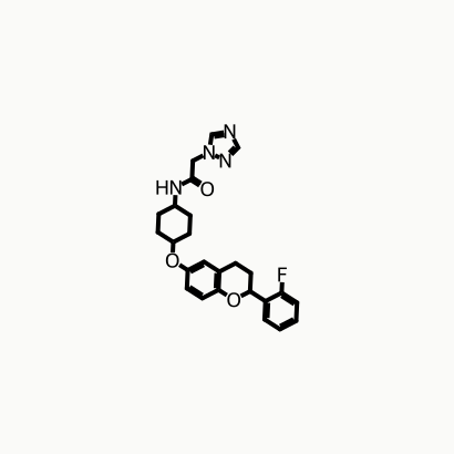 O=C(Cn1cncn1)NC1CCC(Oc2ccc3c(c2)CCC(c2ccccc2F)O3)CC1